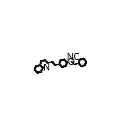 N#Cc1ccccc1COc1ccc(C=Cc2ccc3ccccc3n2)cc1